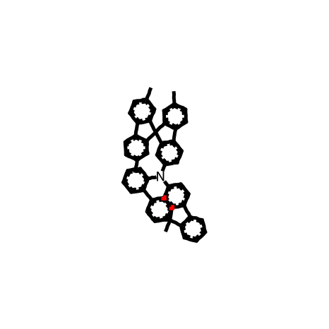 Cc1ccc2c(c1)C1(c3cc(C)ccc3-2)c2cc(C)ccc2-c2ccc(N(c3ccc4c(c3)C(C)(C)c3ccccc3-4)c3ccccc3-c3ccccc3)cc21